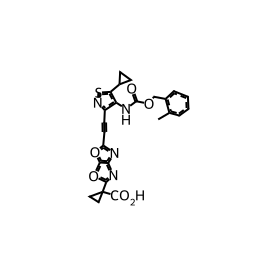 Cc1ccccc1COC(=O)Nc1c(C#Cc2nc3nc(C4(C(=O)O)CC4)oc3o2)nsc1C1CC1